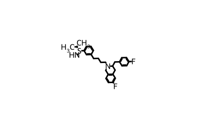 CC(C)S(=N)c1cccc(CCCCN2Cc3ccc(F)cc3CC2Cc2ccc(F)cc2)c1